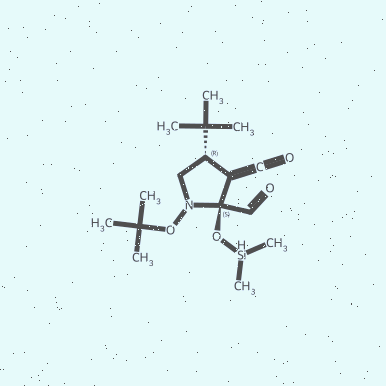 C[SiH](C)O[C@]1(C=O)C(=C=O)[C@@H](C(C)(C)C)CN1OC(C)(C)C